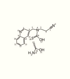 N#CCCN(Cc1cnc2ccccc2c1)C(O)=S.NC(O)=S